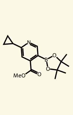 COC(=O)c1cc(C2CC2)ncc1B1OC(C)(C)C(C)(C)O1